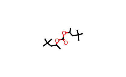 CC(CC(C)(C)C)OC(=O)OC(C)CC(C)(C)C